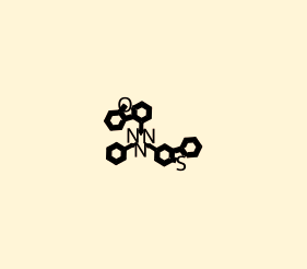 c1ccc(-c2nc(-c3ccc4sc5ccccc5c4c3)nc(-c3cccc4oc5ccccc5c34)n2)cc1